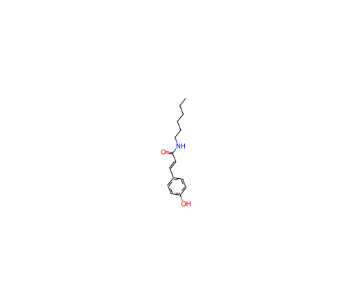 CCCCCCNC(=O)C=Cc1ccc(O)cc1